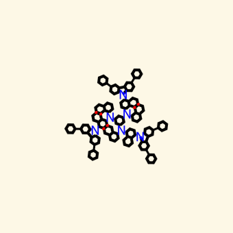 c1ccc(-c2ccc3c(c2)c2cc(-c4ccccc4)ccc2n3-c2ccc(N(c3cc(N(c4cccc5ccccc45)c4ccc(-n5c6ccc(-c7ccccc7)cc6c6cc(-c7ccccc7)ccc65)c5ccccc45)cc(N(c4cccc5ccccc45)c4ccc(-n5c6ccc(-c7ccccc7)cc6c6cc(-c7ccccc7)ccc65)c5ccccc45)c3)c3cccc4ccccc34)c3ccccc23)cc1